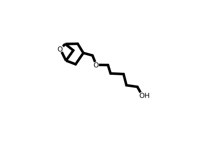 OCCCCCOCC1CC2CC(C1)O2